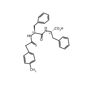 Cc1ccc(CC(=S)N[C@@H](Cc2ccccc2)C(=O)N[C@@H](Cc2ccccc2)C(=O)O)cc1